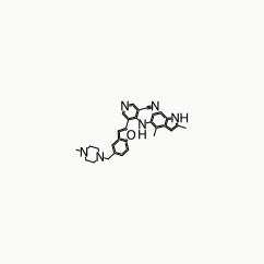 Cc1cc2c(C)c(Nc3c(C#N)cncc3-c3cc4cc(CN5CCN(C)CC5)ccc4o3)ccc2[nH]1